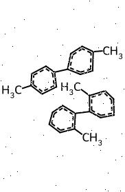 Cc1ccc(-c2ccc(C)cc2)cc1.Cc1ccccc1-c1ccccc1C